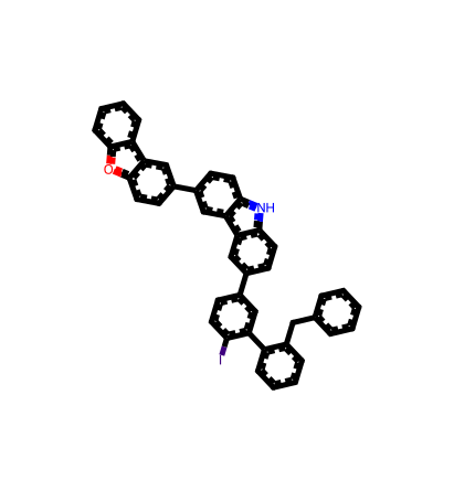 Ic1ccc(-c2ccc3[nH]c4ccc(-c5ccc6oc7ccccc7c6c5)cc4c3c2)cc1-c1ccccc1Cc1ccccc1